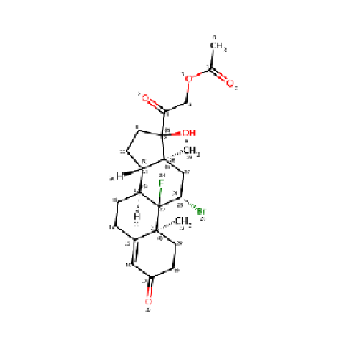 CC(=O)OCC(=O)[C@@]1(O)CC[C@H]2[C@@H]3CCC4=CC(=O)CC[C@]4(C)C3(F)[C@@H](Br)C[C@@]21C